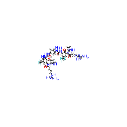 N=C(N)NCCCCC(=O)Nc1cc(C(F)(F)F)cc(NC(=O)Nc2ccc(NC(=O)Nc3cc(C(F)(F)F)cc(NC(=O)CCCCNC(=N)N)c3OC3CCNC3)cc2)c1OC1CCNC1